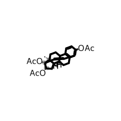 CC(=O)Oc1ccc2c3c1C=C[C@@]1(OC(C)=O)[C@H](OC(C)=O)C[C@H]4[C@H](CC3)C2CC[C@@]41C